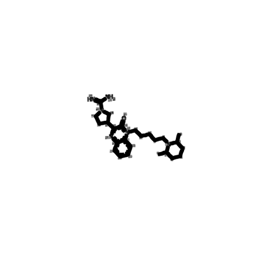 CC1CCCC(C)N1CCCCCn1c(=O)c(C2CCN(C(=N)N)C2)nc2ccccc21